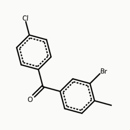 Cc1ccc(C(=O)c2ccc(Cl)cc2)cc1Br